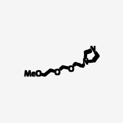 COCCOCOCCn1ccnc1